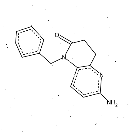 Nc1ccc2c(n1)CCC(=O)N2Cc1ccccc1